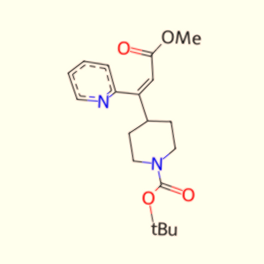 COC(=O)/C=C(\c1ccccn1)C1CCN(C(=O)OC(C)(C)C)CC1